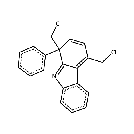 ClCC1=C2C(=Nc3ccccc32)C(CCl)(c2ccccc2)C=C1